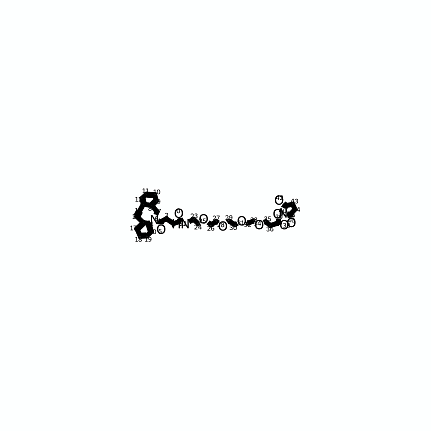 O=C(CCC(=O)N1Cc2ccccc2C#Cc2ccccc21)NCCOCCOCCOCCOCCC(=O)ON1C(=O)CCC1=O